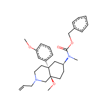 C=CCN1CC[C@@]2(c3cccc(OC)c3)C[C@@H](N(C)C(=O)OCc3ccccc3)CC[C@]2(OC)C1